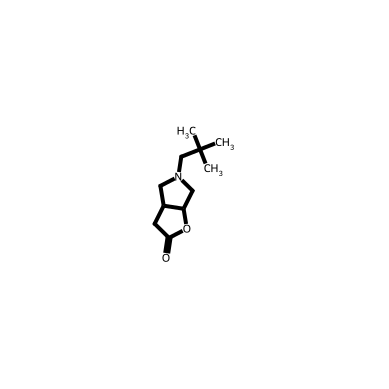 CC(C)(C)CN1CC2CC(=O)OC2C1